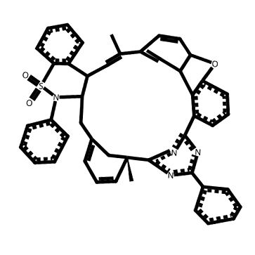 C/C1=C\C2c3ccccc3S(=O)(=O)N(c3ccccc3)C2CC2=CC=C[C@](C)(C2)c2nc(-c3ccccc3)nc(n2)-c2cccc3c2C2C=C1C=CC2O3